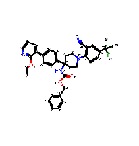 CCOc1ncccc1-c1ccc(C2(NC(=O)OCc3ccccc3)CCN(c3ccc(C(F)(F)F)cc3C#N)CC2)cc1